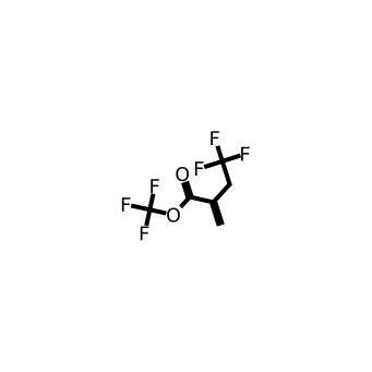 C=C(CC(F)(F)F)C(=O)OC(F)(F)F